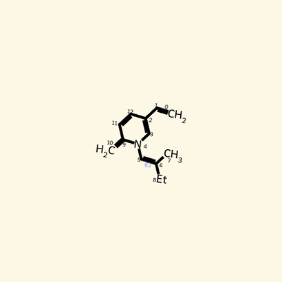 C=CC1=CN(/C=C(\C)CC)C(=C)C=C1